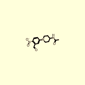 CC(=O)NC1CCN(c2ccc([N+](=O)[O-])c(C=O)c2)CC1